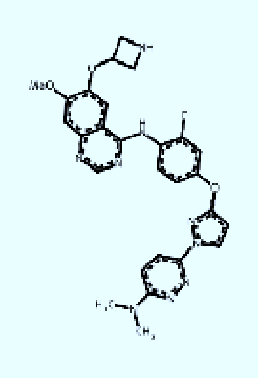 COc1cc2ncnc(Nc3ccc(Oc4ccn(-c5ccc(N(C)C)nn5)n4)cc3F)c2cc1OC1CNC1